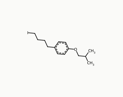 CC(C)COc1ccc(CCCCI)cc1